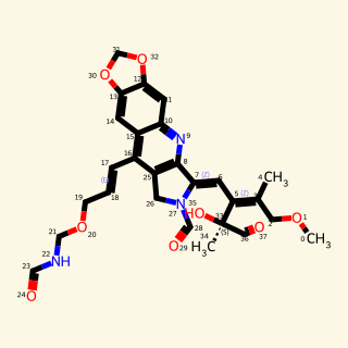 COC/C(C)=C(/C=C1/c2nc3cc4c(cc3c(/C=C/COCNC=O)c2CN1C=O)OCO4)[C@](C)(O)C=O